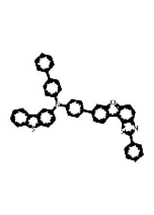 c1ccc(-c2ccc(N(c3ccc(-c4ccc5c(c4)oc4ccc6nc(-c7ccccc7)sc6c45)cc3)c3ccc4sc5ccccc5c4c3)cc2)cc1